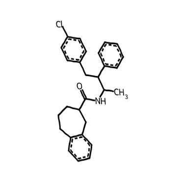 CC(NC(=O)C1CCCc2ccccc2C1)C(Cc1ccc(Cl)cc1)c1ccccc1